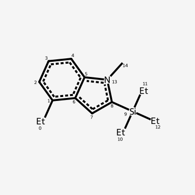 CCc1cccc2c1cc([Si](CC)(CC)CC)n2C